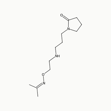 CC(C)=NOCCNCCCN1CCCC1=O